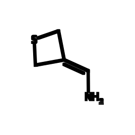 NC=C1CSC1